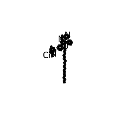 CCCCCCCCCCCCCCCCCCCCOc1c(-c2ccccc2)cc(N=C(C)c2cccnc2)cc1-c1ccccc1.C[C]([Cr])=Nc1c(C)cc(C)cc1C